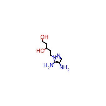 Nc1cnn(CCC(O)CCO)c1N